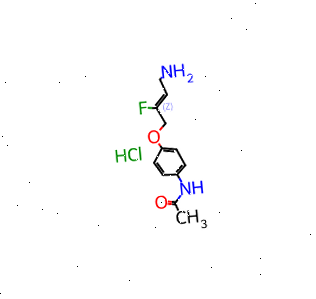 CC(=O)Nc1ccc(OC/C(F)=C/CN)cc1.Cl